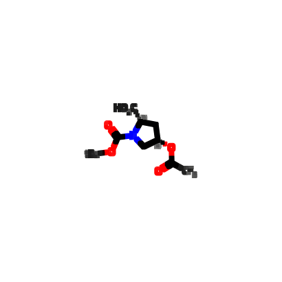 CC(C)(C)OC(=O)N1C[C@@H](OC(=O)C(F)(F)F)C[C@H]1C(=O)O